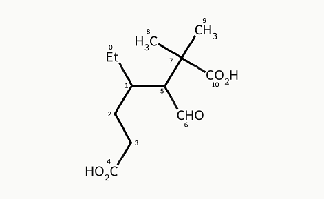 CCC(CCC(=O)O)C(C=O)C(C)(C)C(=O)O